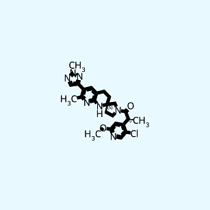 COc1cc([C@@H](C)C(=O)N2CC[C@@]3(CCc4cc(-c5cnn(C)n5)c(C)nc4N3)C2)c(Cl)cn1